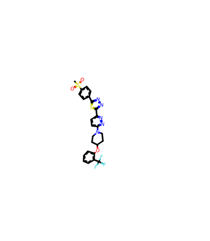 CS(=O)(=O)c1ccc(-c2nnc(-c3ccc(N4CCC(Oc5ccccc5C(F)(F)F)CC4)nn3)s2)cc1